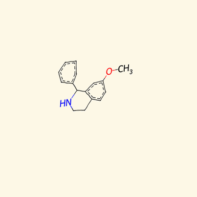 COc1ccc2c(c1)C(c1ccccc1)NCC2